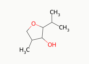 CC(C)C1OCC(C)C1O